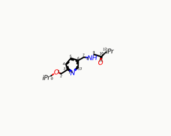 CC(C)OCc1ccc(CNCC(=O)C(C)C)cn1